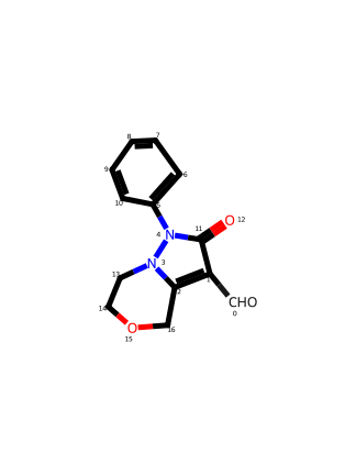 O=Cc1c2n(n(-c3ccccc3)c1=O)CCOC2